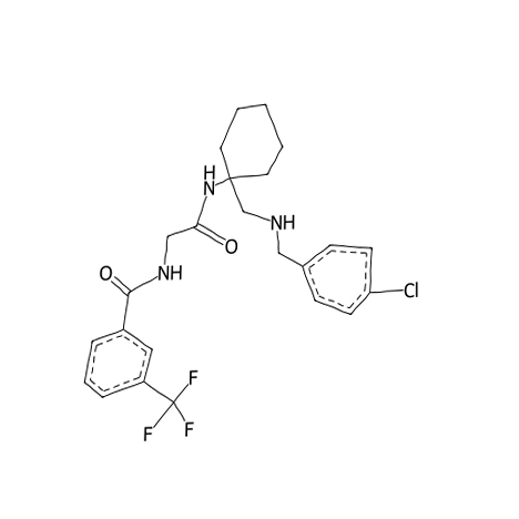 O=C(CNC(=O)c1cccc(C(F)(F)F)c1)NC1(CNCc2ccc(Cl)cc2)CCCCC1